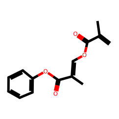 C=C(C)C(=O)OC=C(C)C(=O)Oc1ccccc1